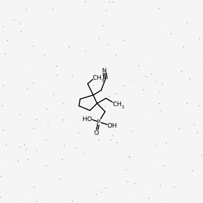 CCC1(CC#N)CCCC1(CC)CP(=O)(O)O